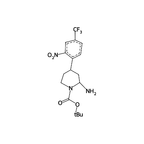 CC(C)(C)OC(=O)N1CCC(c2ccc(C(F)(F)F)cc2[N+](=O)[O-])CC1N